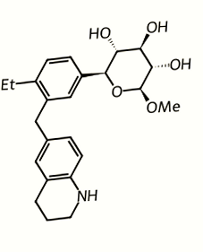 CCc1ccc([C@@H]2O[C@H](OC)[C@@H](O)[C@H](O)[C@H]2O)cc1Cc1ccc2c(c1)CCCN2